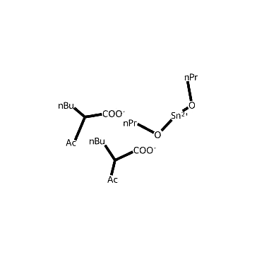 CCCCC(C(C)=O)C(=O)[O-].CCCCC(C(C)=O)C(=O)[O-].CCC[O][Sn+2][O]CCC